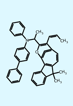 C/C=C\C1=C(C(C)N(c2ccccc2)c2ccc(-c3ccccc3)cc2)OC2=C=C1C=CC1=C2c2ccccc2C1(C)C